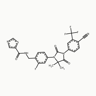 CC1(C)C(=O)N(c2ccc(C#N)c(C(F)(F)F)c2)C(=O)N1c1ccc(CNC(=O)c2cncs2)c(F)c1